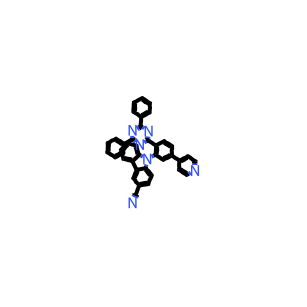 N#Cc1ccc2c(c1)c1ccccc1n2-c1cc(-c2ccncc2)ccc1-c1nc(-c2ccccc2)nc(-c2ccccc2)n1